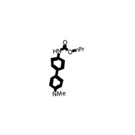 CCCOC(=O)Nc1ccc(-c2ccc(NC)cc2)cc1